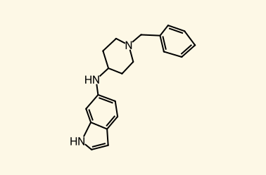 c1ccc(CN2CCC(Nc3ccc4cc[nH]c4c3)CC2)cc1